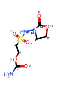 NC(=O)OCCS(=O)(=O)NN1CCOC1=O